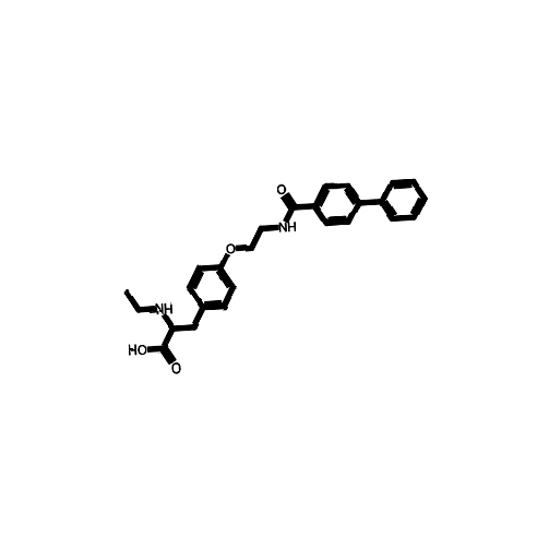 CCNC(Cc1ccc(OCCNC(=O)c2ccc(-c3ccccc3)cc2)cc1)C(=O)O